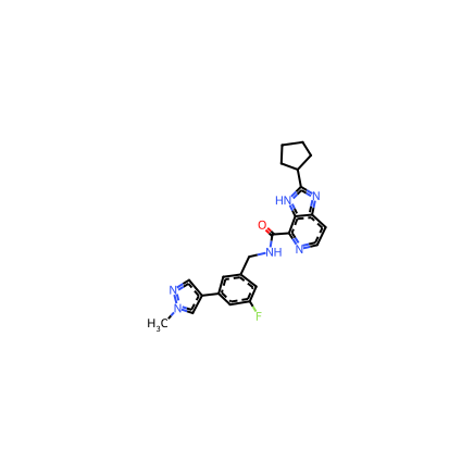 Cn1cc(-c2cc(F)cc(CNC(=O)c3nccc4nc(C5CCCC5)[nH]c34)c2)cn1